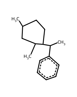 CC1CCC(C(C)c2ccccc2)C(C)C1